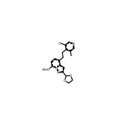 COc1ccc(CCc2c(C)cncc2Cl)c2cc(C3OCCO3)nn12